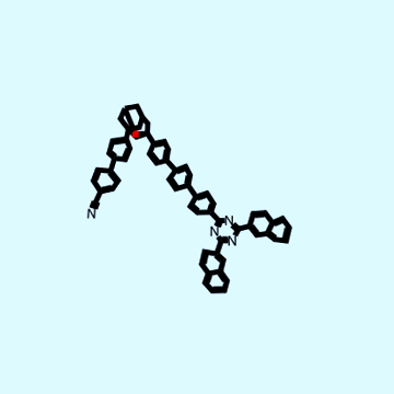 N#Cc1ccc(-c2ccc(C34CC5CC(C3)CC(c3ccc(-c6ccc(-c7ccc(-c8nc(-c9ccc%10ccccc%10c9)nc(-c9ccc%10ccccc%10c9)n8)cc7)cc6)cc3)(C5)C4)cc2)cc1